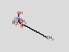 CCCCCCCCCC=CC=CC=CC=CC=CC=CC(=O)OCC(C)(C)C(O)C(=O)NCCCO